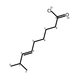 CC(C)C=CCCCCC(=O)Cl